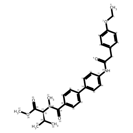 CCOc1ccc(CC(=O)Nc2ccc(-c3ccc(C(=O)N(C)[C@H](C(=O)OC)C(C)C)cc3)cc2)cc1